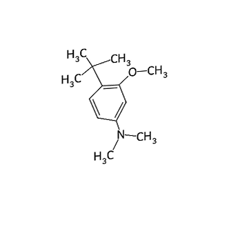 COc1cc(N(C)C)ccc1C(C)(C)C